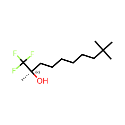 CC(C)(C)CCCCCC[C@@](C)(O)C(F)(F)F